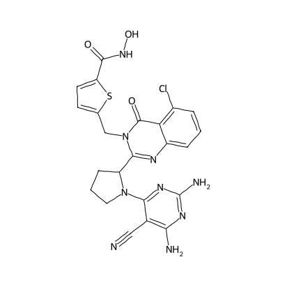 N#Cc1c(N)nc(N)nc1N1CCCC1c1nc2cccc(Cl)c2c(=O)n1Cc1ccc(C(=O)NO)s1